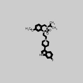 COc1ccc2c(c1)N(CCN1CC=C(c3c[nH]c4cc(F)ccc34)CC1)S(=O)(=O)N(C(C)C)C2